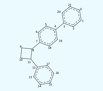 c1ccc(-c2ccc(C3CCC3c3ccccc3)cc2)cc1